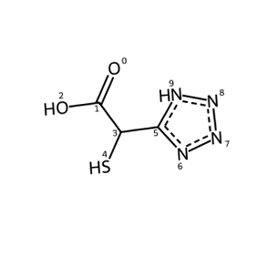 O=C(O)C(S)c1nnn[nH]1